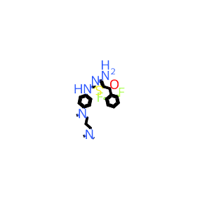 CN(C)CCCN(C)c1ccc(Nc2nc(N)c(C(=O)c3c(F)cccc3F)s2)cc1